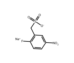 O=[N+]([O-])c1ccc(F)c(CS(=O)(=O)[O-])c1.[Na+]